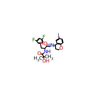 CC(C)(O)C(=O)NC(Cc1cc(F)cc(F)c1)C(O)CN[C@H]1CCOc2ccc(I)cc21